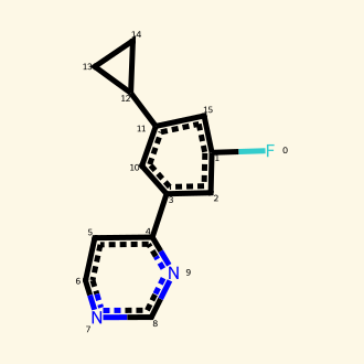 Fc1cc(-c2ccncn2)cc(C2CC2)c1